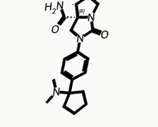 CN(C)C1(c2ccc(N3C[C@@]4(C(N)=O)[CH]CCN4C3=O)cc2)CCCC1